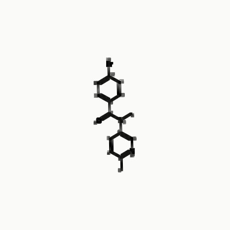 Cc1ccc(N(C)C(=O)c2ccc(Br)cc2)cn1